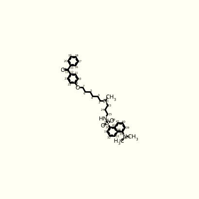 CN(CCCCCCOc1ccc(C(=O)c2ccccc2)cc1)CCCNS(=O)(=O)c1cccc2c(N(C)C)cccc12